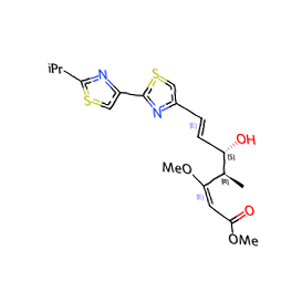 COC(=O)/C=C(/OC)[C@H](C)[C@@H](O)/C=C/c1csc(-c2csc(C(C)C)n2)n1